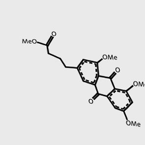 COC(=O)CCCc1cc(OC)c2c(c1)C(=O)c1cc(OC)cc(OC)c1C2=O